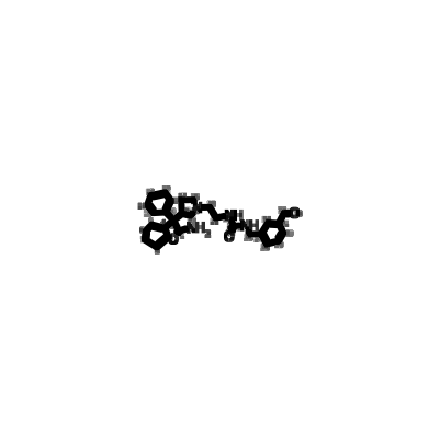 NC(=O)C(c1ccccc1)(c1ccccc1)C1CCN(CCNC(=O)NCc2cccc(C=O)c2)C1